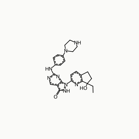 CCC1(O)CCc2ccc(-n3[nH]c(=O)c4cnc(Nc5ccc(N6CCNCC6)cc5)nc43)nc21